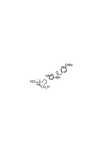 COc1ccc(CC(=O)Nc2cc([C@@H]3CC[C@H]([C@]4(C)N(C(=O)O)C[C@@]4(C)O)C3)[nH]n2)cn1